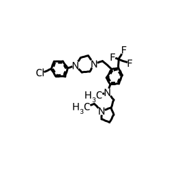 CCN1CCCC1CN(C)c1ccc(C(F)(F)F)c(CN2CCN(c3ccc(Cl)cc3)CC2)c1